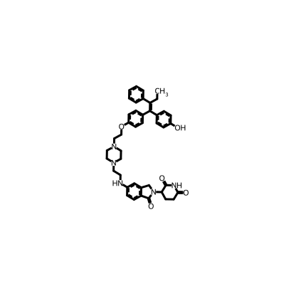 CC/C(=C(\c1ccc(O)cc1)c1ccc(OCCN2CCN(CCNc3ccc4c(c3)CN(C3CCC(=O)NC3=O)C4=O)CC2)cc1)c1ccccc1